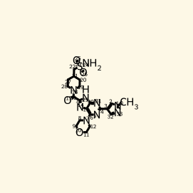 Cn1cc(-c2nc(N3CCOCC3)c3nc(C(=O)N4CCC(CS(N)(=O)=O)CC4)[nH]c3n2)cn1